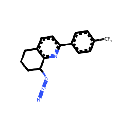 [N-]=[N+]=NC1CCCc2ccc(-c3ccc(C(F)(F)F)cc3)nc21